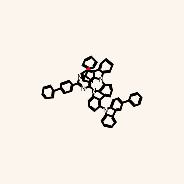 c1ccc(-c2ccc(-c3nc(-c4ccccc4)nc(-n4c5cccc(-n6c7ccccc7c7cc(-c8ccccc8)ccc76)c5c5cccc(-n6c7ccccc7c7ccccc76)c54)n3)cc2)cc1